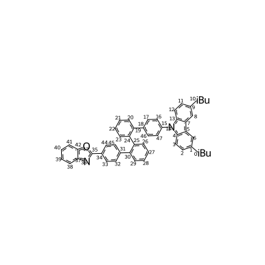 CCC(C)c1ccc2c(c1)c1cc(C(C)CC)ccc1n2-c1ccc(-c2ccccc2-c2ccccc2-c2ccc(-c3nc4ccccc4o3)cc2)cc1